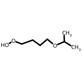 CC(C)OCCCCOO